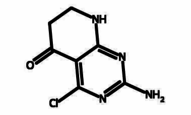 Nc1nc(Cl)c2c(n1)NCCC2=O